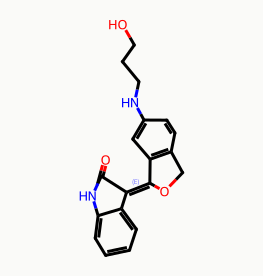 O=C1Nc2ccccc2/C1=C1\OCc2ccc(NCCCO)cc21